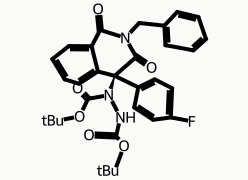 CC(C)(C)OC(=O)NN(C(=O)OC(C)(C)C)[C@]1(c2ccc(F)cc2)C(=O)N(Cc2ccccc2)C(=O)c2ccccc21